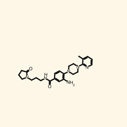 Cc1cccnc1N1CCN(c2ccc(C(=O)NCCCN3CCCC3=O)cc2N)CC1